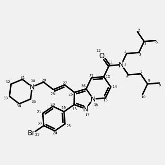 CC(C)CCN(CCC(C)C)C(=O)c1ccn2nc(-c3ccc(Br)cc3)c(/C=C/CN3CCCCC3)c2c1